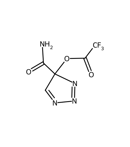 NC(=O)C1(OC(=O)C(F)(F)F)C=NN=N1